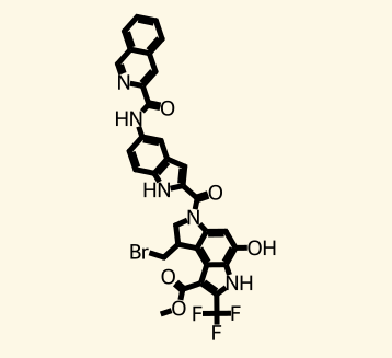 COC(=O)c1c(C(F)(F)F)[nH]c2c(O)cc3c(c12)C(CBr)CN3C(=O)c1cc2cc(NC(=O)c3cc4ccccc4cn3)ccc2[nH]1